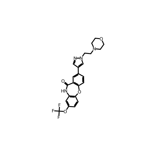 O=C1Nc2cc(OC(F)(F)F)ccc2Oc2ccc(-c3cnn(CCN4CCOCC4)c3)cc21